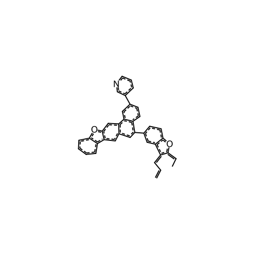 C=C/C=c1\c(=C/C)oc2ccc(-c3cc4cc5c(cc4c4cc(-c6cccnc6)ccc34)oc3ccccc35)cc12